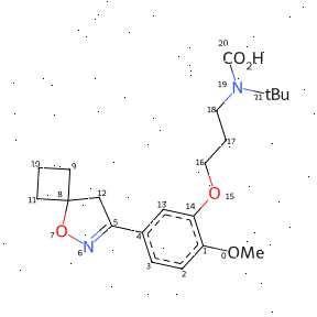 COc1ccc(C2=NOC3(CCC3)C2)cc1OCCCN(C(=O)O)C(C)(C)C